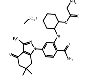 CC1(C)CC(=O)c2c(C(F)(F)F)nn(-c3ccc(C(N)=O)c(NC4CCCCC4OC(=O)CN)c3)c2C1.CS(=O)(=O)O